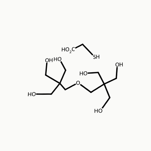 O=C(O)CS.OCC(CO)(CO)COCC(CO)(CO)CO